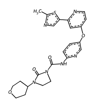 Cc1ncc(-c2cc(Oc3ccc(NC(=O)N4CCN(C5CCOCC5)C4=O)nc3)ccn2)s1